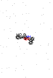 O=C(O)C[C@H](NC(=O)OCC1c2ccccc2-c2ccccc21)C(=O)CCCCc1ccccc1